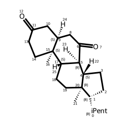 CCC[C@@H](C)[C@H]1CC[C@H]2[C@@H]3C(=O)C[C@@H]4CC(=O)CC[C@]4(C)[C@H]3CC[C@]12C